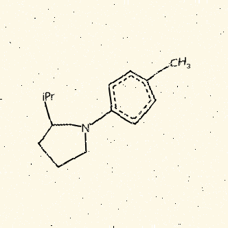 Cc1ccc(N2CCCC2C(C)C)cc1